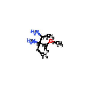 CCC(N)([SiH2]OC)C(C)N